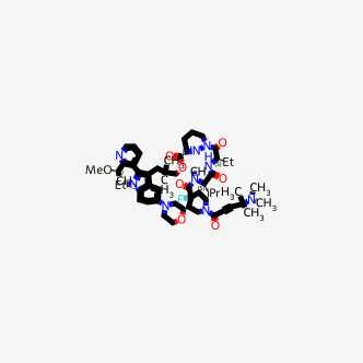 CC[C@H](NC(=O)[C@H](C(C)C)N(C)C(=O)C1(F)CCN(C(=O)C#CC(C)(C)N(C)C)CC1)C(=O)N1CCC[C@@H](C(=O)OCC(C)(C)Cc2c(-c3cccnc3[C@H](C)OC)n(CC)c3ccc(N4CCOCC4)cc23)N1